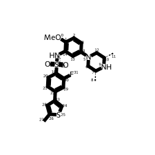 COc1ccc(N2C[C@@H](C)N[C@@H](C)C2)cc1NS(=O)(=O)c1ccc(-c2csc(C)c2)cc1F